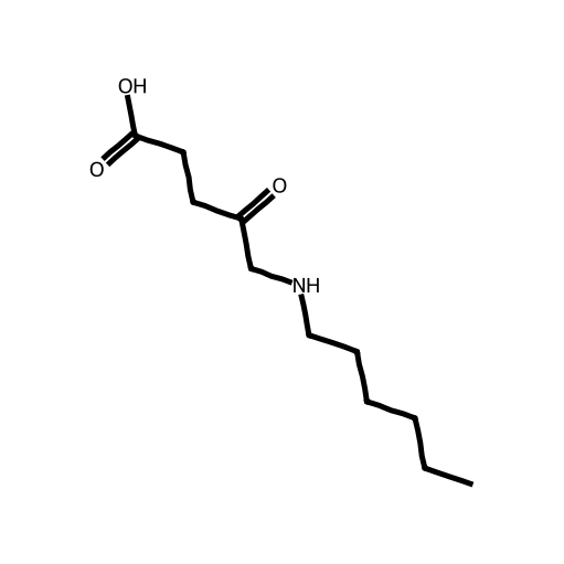 CCCCCCNCC(=O)CCC(=O)O